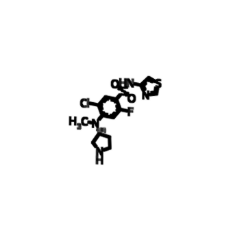 CN(c1cc(F)c(S(=O)(=O)Nc2cscn2)cc1Cl)[C@@H]1CCNC1